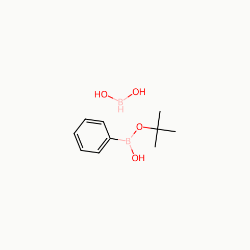 CC(C)(C)OB(O)c1ccccc1.OBO